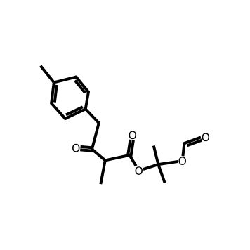 Cc1ccc(CC(=O)C(C)C(=O)OC(C)(C)OC=O)cc1